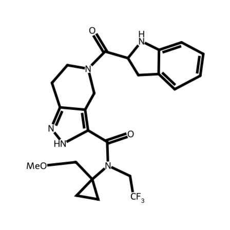 COCC1(N(CC(F)(F)F)C(=O)c2[nH]nc3c2CN(C(=O)C2Cc4ccccc4N2)CC3)CC1